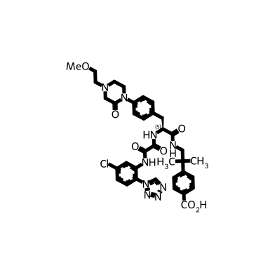 COCCN1CCN(c2ccc(C[C@H](NC(=O)C(=O)Nc3cc(Cl)ccc3-n3cnnn3)C(=O)NCC(C)(C)c3ccc(C(=O)O)cc3)cc2)C(=O)C1